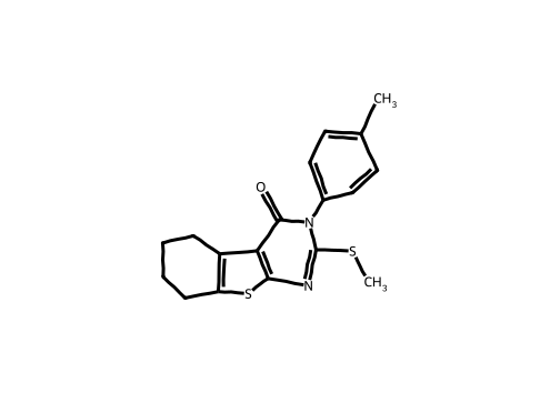 CSc1nc2sc3c(c2c(=O)n1-c1ccc(C)cc1)CCCC3